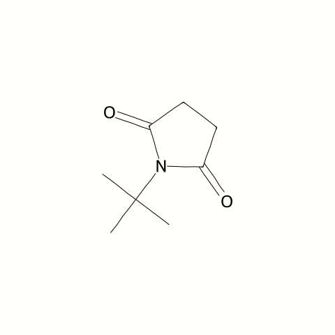 CC(C)(C)N1C(=O)CCC1=O